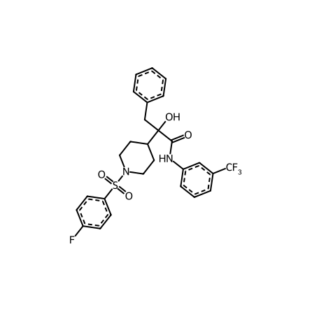 O=C(Nc1cccc(C(F)(F)F)c1)C(O)(Cc1ccccc1)C1CCN(S(=O)(=O)c2ccc(F)cc2)CC1